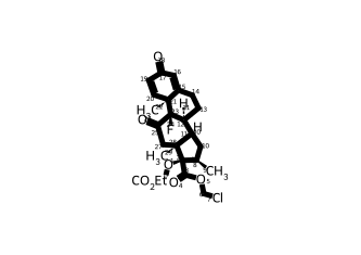 CCOC(=O)O[C@]1(C(=O)OCCl)[C@H](C)C[C@H]2[C@@H]3CCC4=CC(=O)C=C[C@]4(C)[C@@]3(F)C(=O)C[C@@]21C